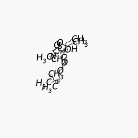 CCCCC1(CCCC)CS(=O)(=O)c2ccc(N(C)C)cc2[C@@H](c2ccc(OCCOCCC[C@H](CC)C(CC)CCC)cc2)[C@H]1O